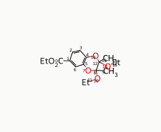 CCOC(=O)c1ccc2c(c1)OC(C)(OCC)C(C)(OCC)O2